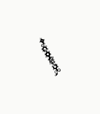 CCOC(=O)C1CCN(c2nn3cc(-c4ccc(N5CCC(OCC6CCC6)CC5)cc4)nc3s2)CC1